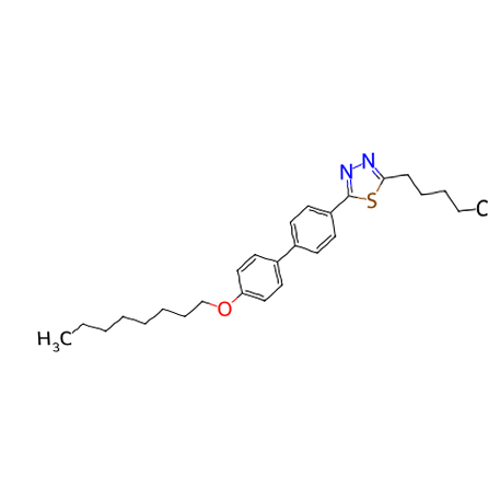 CCCCCCCCOc1ccc(-c2ccc(-c3nnc(CCCCC)s3)cc2)cc1